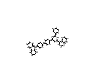 c1ccc(-c2nc(-c3ccc(-c4ccc(-n5c6ccccc6c6ccccc65)cc4)cc3)cc(-c3ccnc4ncccc34)n2)cc1